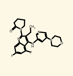 CCc1c(N2CCCCC2=O)nc2cc(F)cc(F)c2c1Nc1cncc(N2CCOCC2)c1